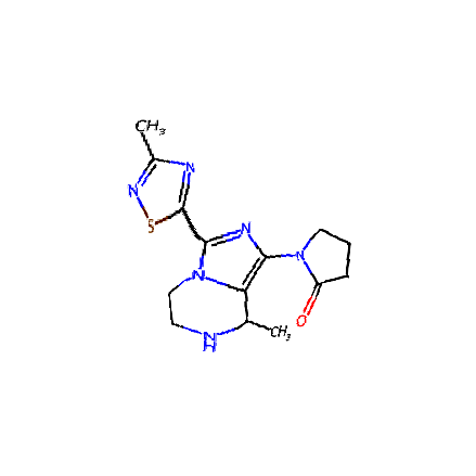 Cc1nsc(-c2nc(N3CCCC3=O)c3n2CCNC3C)n1